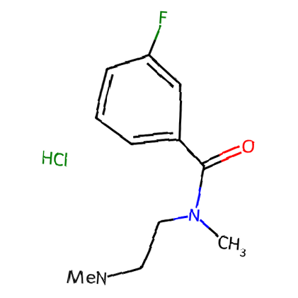 CNCCN(C)C(=O)c1cccc(F)c1.Cl